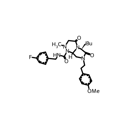 CCC(C)[C@H]1C(=O)N(CCc2ccc(OC)cc2)C[C@H]2N1C(=O)CN(C)N2C(=O)NCc1ccc(F)cc1